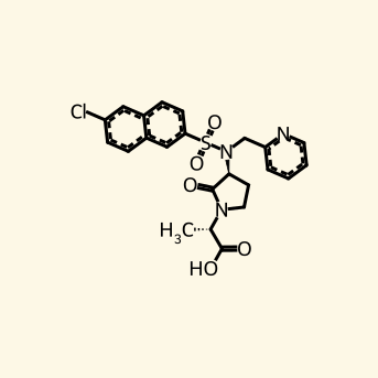 C[C@@H](C(=O)O)N1CC[C@H](N(Cc2ccccn2)S(=O)(=O)c2ccc3cc(Cl)ccc3c2)C1=O